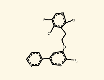 Nc1ncc(-c2cccnc2)cc1OCCc1c(Cl)ccc(F)c1Cl